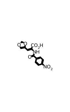 O=C(O)C(=CC1=COCO1)NC(=O)c1ccc([N+](=O)[O-])cc1